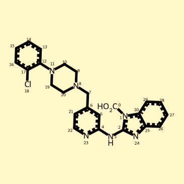 O=C(O)n1c(Nc2cc(CN3CCN(c4ccccc4Cl)CC3)ccn2)nc2ccccc21